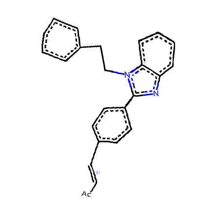 CC(=O)/C=C/c1ccc(-c2nc3ccccc3n2CCc2ccccc2)cc1